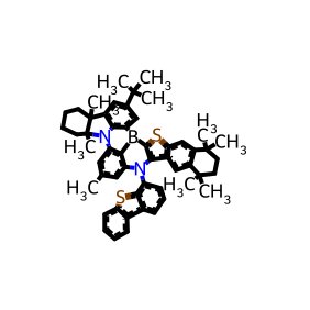 Cc1cc2c3c(c1)N1c4c(cc(C(C)(C)C)cc4C4(C)CCCCC14C)B3c1sc3cc4c(cc3c1N2c1cccc2c1sc1ccccc12)C(C)(C)CCC4(C)C